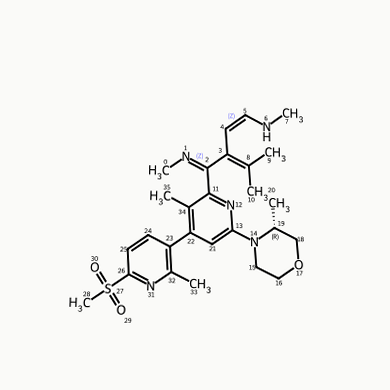 C/N=C(/C(/C=C\NC)=C(C)C)c1nc(N2CCOC[C@H]2C)cc(-c2ccc(S(C)(=O)=O)nc2C)c1C